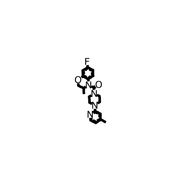 Cc1ccnc(N2CCN(C(=O)N3c4ccc(F)cc4OCC3C)CC2)c1